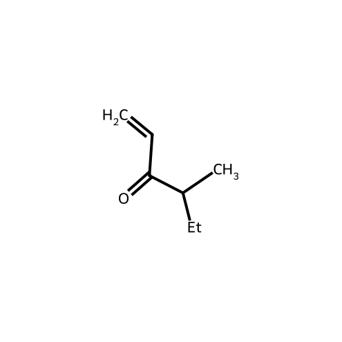 [CH2]CC(C)C(=O)C=C